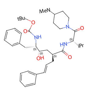 CNC1CCN(C(=O)[C@@H](NC(=O)[C@@H](CC=Cc2ccccc2)C[C@H](O)[C@H](Cc2ccccc2)NC(=O)OC(C)(C)C)C(C)C)CC1